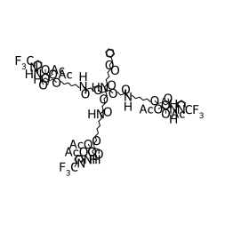 CC(=O)O[C@@H]1[C@@H](Nc2cccc(C(F)(F)F)n2)[C@H]2OC[C@](COCCCCCCNC(=O)CCOCC(COCCC(=O)NCCCCCCOC[C@@]34CO[C@@H](O3)[C@H](Nc3cccc(C(F)(F)F)n3)[C@@H](OC(C)=O)[C@H]4OC(C)=O)(COCCC(=O)NCCCCCCOC[C@@]34CO[C@@H](O3)[C@H](Nc3cccc(C(F)(F)F)n3)[C@@H](OC(C)=O)[C@H]4OC(C)=O)NC(=O)CCCC(=O)OCc3ccccc3)(O2)[C@@H]1OC(C)=O